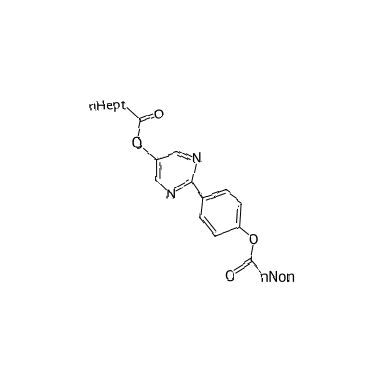 CCCCCCCCCC(=O)Oc1ccc(-c2ncc(OC(=O)CCCCCCC)cn2)cc1